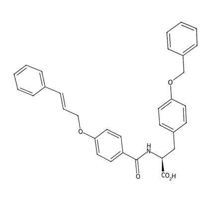 O=C(N[C@@H](Cc1ccc(OCc2ccccc2)cc1)C(=O)O)c1ccc(OC/C=C/c2ccccc2)cc1